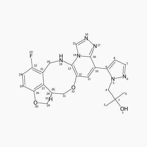 CC(C)(O)Cn1nccc1-c1cc2c(n3cnnc13)NCc1c(F)ccc3c1[C@H](CO3)CO2